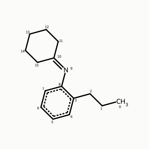 CCCc1ccccc1N=C1CCCCC1